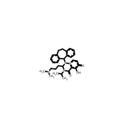 CC(C)N1C(=O)c2c(O)c(=O)ccn2N(C2c3ccccc3CCc3ccccc32)C1CCCN(C)C